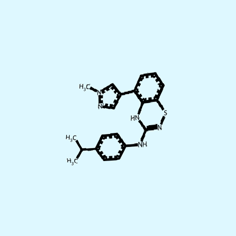 CC(C)c1ccc(NC2=NSc3cccc(-c4cnn(C)c4)c3N2)cc1